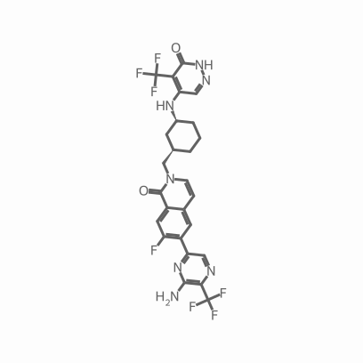 Nc1nc(-c2cc3ccn(C[C@@H]4CCC[C@H](Nc5cn[nH]c(=O)c5C(F)(F)F)C4)c(=O)c3cc2F)cnc1C(F)(F)F